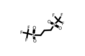 O=S(=O)(CCCS(=O)(=O)C(F)(F)F)C(F)(F)F